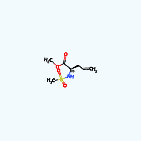 C=CC[C@@H](NS(C)(=O)=O)C(=O)OC